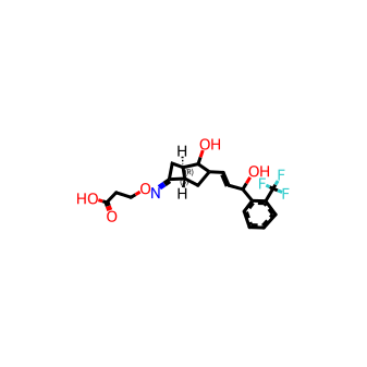 O=C(O)CCON=C1C[C@H]2C(O)C(C=CC(O)c3ccccc3C(F)(F)F)C[C@H]12